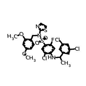 COc1ccc(CN(c2nccs2)S(=O)(=O)c2cc(Cl)c(NC(C)c3cc(Cl)cc(Cl)c3)cc2F)c(OC)c1